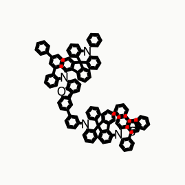 c1ccc(-c2cccc(-c3ccccc3N(c3cccc4c3-c3ccccc3C43c4ccccc4N(c4ccccc4)c4ccccc43)c3cccc4c3oc3ccc(-c5cccc(N6c7ccccc7C7(c8ccccc8-c8c(N(c9ccccc9-c9cccc(-c%10ccccc%10)c9)c9cccc%10c9sc9ccccc9%10)cccc87)c7ccccc76)c5)cc34)c2)cc1